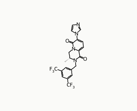 C[C@@H]1Cn2c(ccc(-n3ccnc3)c2=O)C(=O)N1Cc1cc(C(F)(F)F)cc(C(F)(F)F)c1